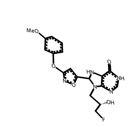 COc1cccc(Oc2cc(C3Nc4c(nc[nH]c4=O)N3C[C@H](O)CF)on2)c1